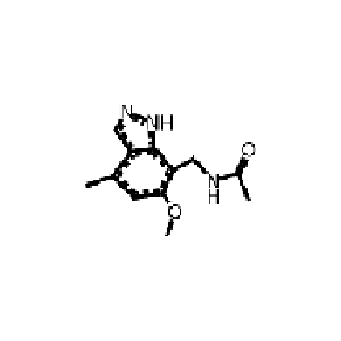 COc1cc(C)c2cn[nH]c2c1CNC(C)=O